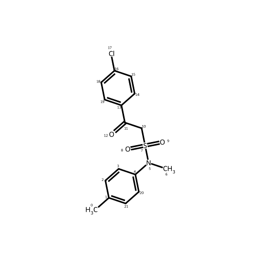 Cc1ccc(N(C)S(=O)(=O)CC(=O)c2ccc(Cl)cc2)cc1